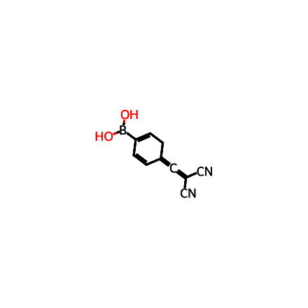 N#CC(=C=C1C=CC(B(O)O)=CC1)C#N